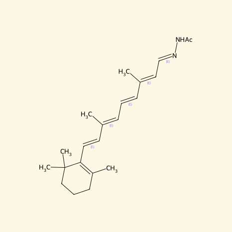 CC(=O)N/N=C/C=C(C)/C=C/C=C(C)/C=C/C1=C(C)CCCC1(C)C